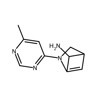 Cc1cc(N2CC3C=C2C3N)ncn1